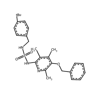 Cc1nc(NS(=O)(=O)NCc2ccc(C(C)(C)C)cc2)c(C)c(C)c1OCc1ccccc1